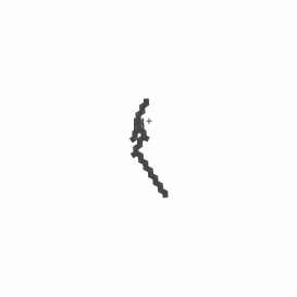 CCCCCC#[N+]N(CCC)CC(C)CCCC(C)CCCCCCCCCCCC